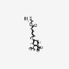 CCOC(=O)CCCCOc1ccc([N+](=O)[O-])c(C=O)c1